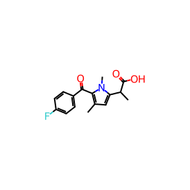 Cc1cc(C(C)C(=O)O)n(C)c1C(=O)c1ccc(F)cc1